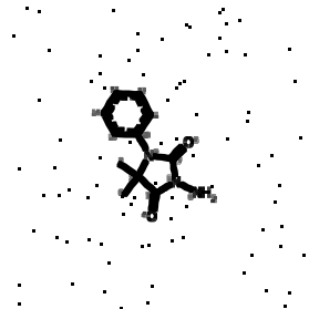 CC1(C)C(=O)N(N)C(=O)N1c1ccccc1